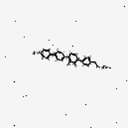 CCCCCCCCCCCCc1ccc(-c2ccc(-c3ccc(-c4ccc(CCC)cc4)cc3)c(F)c2F)cc1